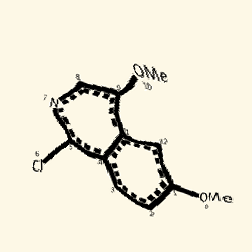 COc1ccc2c(Cl)ncc(OC)c2c1